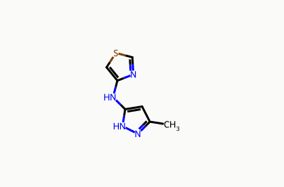 Cc1cc(Nc2cscn2)[nH]n1